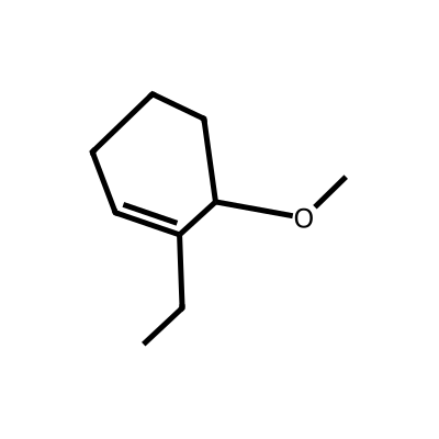 CCC1=CCCCC1OC